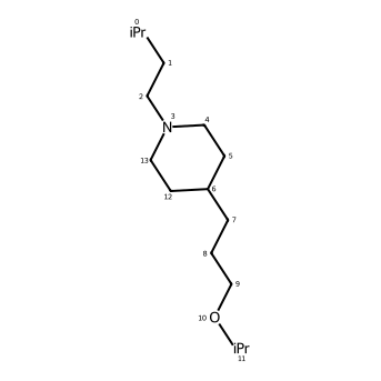 CC(C)CCN1CCC(CCCOC(C)C)CC1